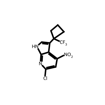 O=[N+]([O-])c1cc(Cl)nc2[nH]cc(C3(C(F)(F)F)CCC3)c12